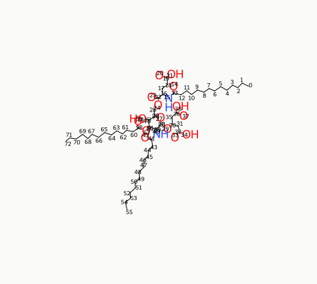 CCCCCCCCCCCCCC(=O)NC(CCC(=O)O)C(=O)OC[C@H]1O[C@H](OC(CC(=O)O)CC(=O)O)[C@H](NC(=O)CCCCCCCCCCCCC)[C@@H](OC(=O)CCCCCCCCCCCCC)[C@@H]1O